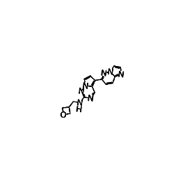 c1cn2nc(-c3ccn4nc(NCC5COC5)ncc34)ccc2n1